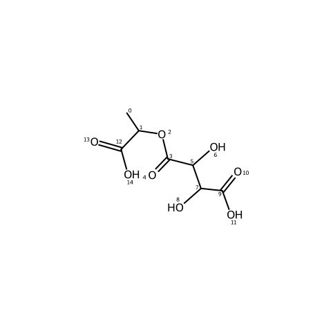 CC(OC(=O)C(O)C(O)C(=O)O)C(=O)O